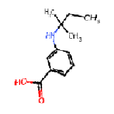 CCC(C)(C)Nc1cccc(C(=O)O)c1